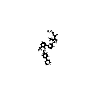 CCOC(=O)c1cnn(-c2cccc(-c3cccc(C(F)(F)F)c3OCc3ccc(C4CCNCC4)cc3)n2)c1C(F)(F)F